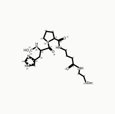 CCCCCCCCCCCCNC(=O)CCCNC(=O)C1CCCN1C(=O)C(Cc1c[nH]cn1)NC(=O)O